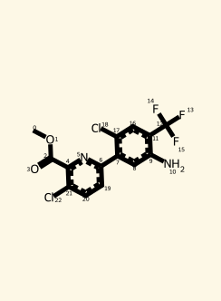 COC(=O)c1nc(-c2cc(N)c(C(F)(F)F)cc2Cl)ccc1Cl